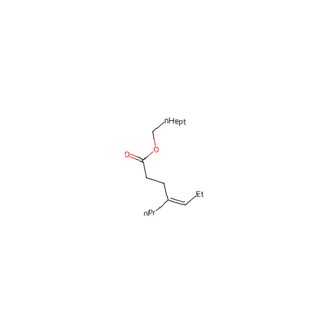 CCC=C(CCC)CCC(=O)OCCCCCCCC